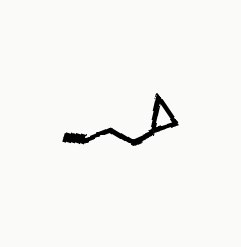 C=CCC[C]1CC1